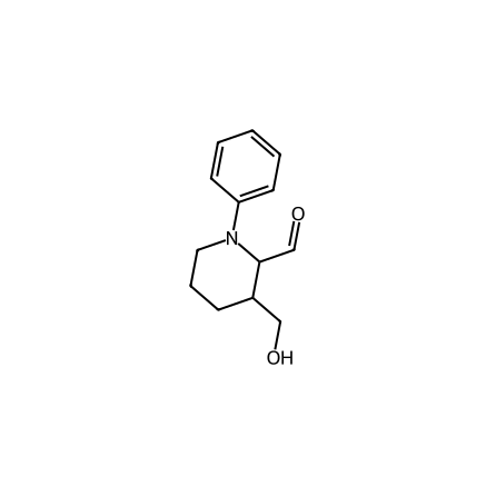 O=CC1C(CO)CCCN1c1ccccc1